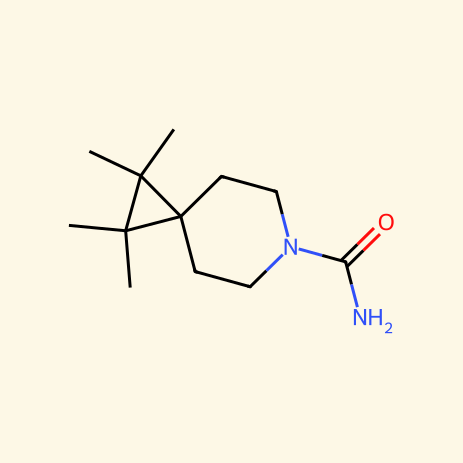 CC1(C)C(C)(C)C12CCN(C(N)=O)CC2